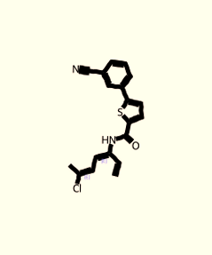 C=C/C(=C\C=C(/C)Cl)NC(=O)c1ccc(-c2cccc(C#N)c2)s1